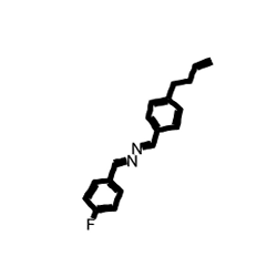 C=CCCc1ccc(C=NN=Cc2ccc(F)cc2)cc1